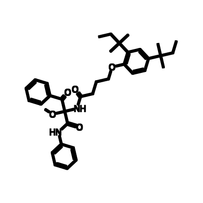 CCC(C)(C)c1ccc(OCCCC(=O)NC(OC)(C(=O)Nc2ccccc2)C(=O)c2ccccc2)c(C(C)(C)CC)c1